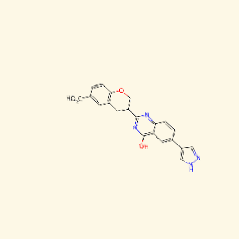 O=C(O)c1ccc2c(c1)CC(c1nc(O)c3cc(-c4cn[nH]c4)ccc3n1)CO2